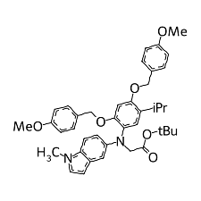 COc1ccc(COc2cc(OCc3ccc(OC)cc3)c(N(CC(=O)OC(C)(C)C)c3ccc4c(ccn4C)c3)cc2C(C)C)cc1